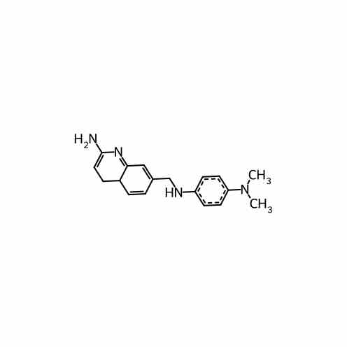 CN(C)c1ccc(NCC2=CC3=NC(N)=CCC3C=C2)cc1